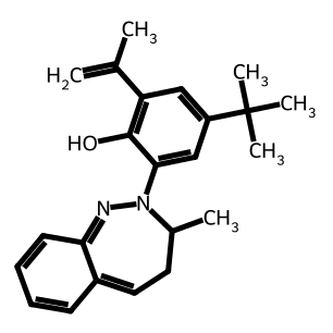 C=C(C)c1cc(C(C)(C)C)cc(N2N=c3ccccc3=CCC2C)c1O